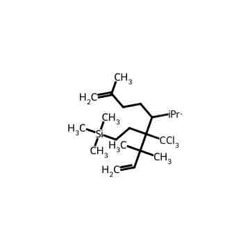 C=CC(C)(C)C(CC[Si](C)(C)C)(C(CCC(=C)C)[C](C)C)C(Cl)(Cl)Cl